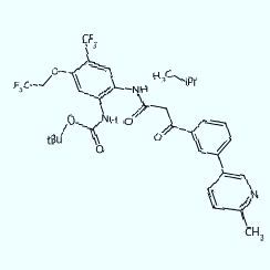 CC(C)C.Cc1ccc(-c2cccc(C(=O)CC(=O)Nc3cc(C(F)(F)F)c(OCC(F)(F)F)cc3NC(=O)OC(C)(C)C)c2)cn1